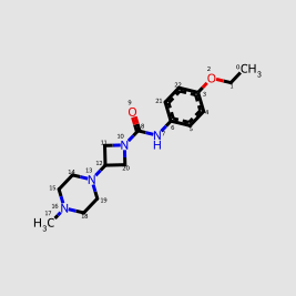 CCOc1ccc(NC(=O)N2CC(N3CCN(C)CC3)C2)cc1